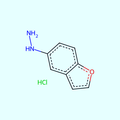 Cl.NNc1ccc2occc2c1